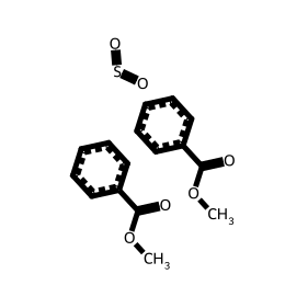 COC(=O)c1ccccc1.COC(=O)c1ccccc1.O=S=O